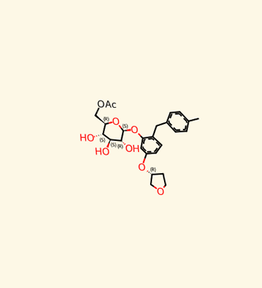 CC(=O)OC[C@H]1O[C@@H](Oc2cc(O[C@@H]3CCOC3)ccc2Cc2ccc(C)cc2)[C@H](O)[C@@H](O)[C@@H]1O